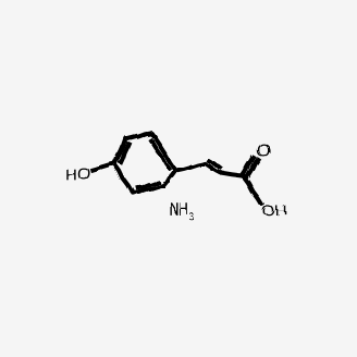 N.O=C(O)C=Cc1ccc(O)cc1